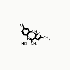 Cc1cc2c(s1)Nc1cc(Cl)ccc1N=C2N.Cl